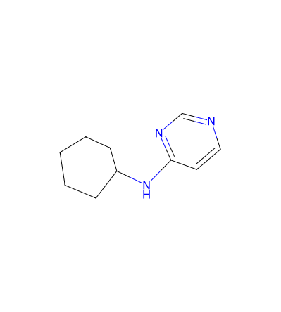 c1cc(NC2CCCCC2)ncn1